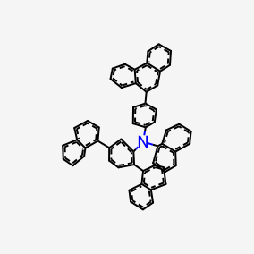 c1ccc2c(-c3ccc(-c4cccc5ccccc45)c(N(c4ccc(-c5cc6ccccc6c6ccccc56)cc4)c4cccc5ccccc45)c3)cccc2c1